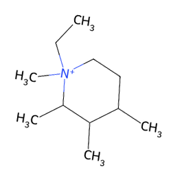 CC[N+]1(C)CCC(C)C(C)C1C